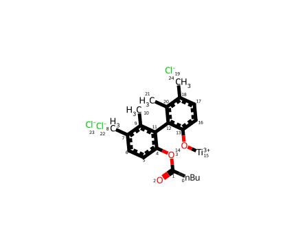 CCCCC(=O)Oc1ccc(C)c(C)c1-c1c([O][Ti+3])ccc(C)c1C.[Cl-].[Cl-].[Cl-]